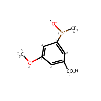 O=C(O)c1cc(OC(F)(F)F)cc([S+]([O-])C(F)(F)F)c1